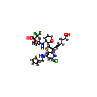 CN[C@@H]1CCCO[C@H]1c1sc2c(NCc3cccs3)cc(Cl)nc2c1C#CCCCO.O=C(O)C(F)(F)F